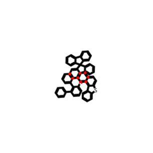 c1ccc(-c2ccccc2-c2c(-c3ccccc3)cccc2N(c2cccc3c2-c2ccccc2C32c3ccccc3-c3ccccc32)c2cccc3sc4ccccc4c23)cc1